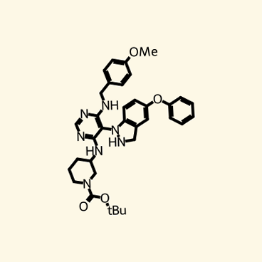 COc1ccc(CNc2ncnc(NC3CCCN(C(=O)OC(C)(C)C)C3)c2N2NCc3cc(Oc4ccccc4)ccc32)cc1